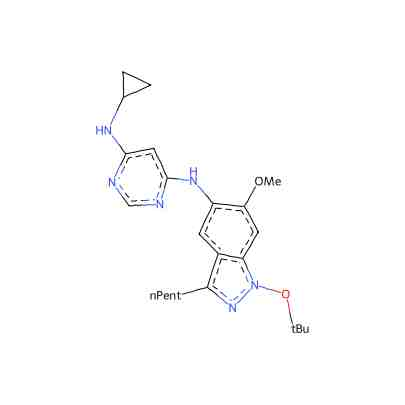 CCCCCc1nn(OC(C)(C)C)c2cc(OC)c(Nc3cc(NC4CC4)ncn3)cc12